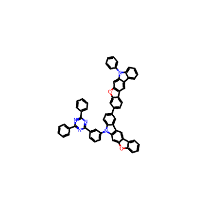 c1ccc(-c2nc(-c3ccccc3)nc(-c3cccc(-n4c5ccc(-c6ccc7c(c6)oc6cc8c(cc67)c6ccccc6n8-c6ccccc6)cc5c5cc6c(cc54)oc4ccccc46)c3)n2)cc1